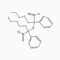 CCCCCC(OC(CCCCC)(c1ccccc1)[N+](=O)[O-])(c1ccccc1)[N+](=O)[O-]